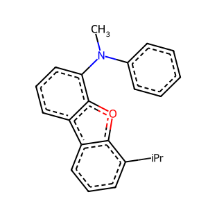 CC(C)c1cccc2c1oc1c(N(C)c3ccccc3)cccc12